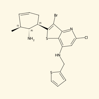 C[C@H]1C=CC[C@@H](c2sc3c(NCc4cccs4)cc(Cl)nc3c2Br)[C@@H]1N